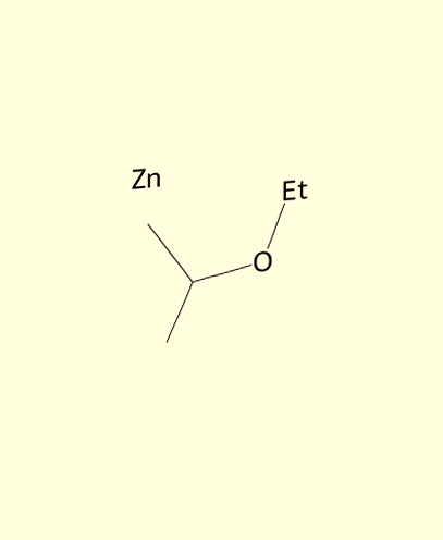 [CH2]COC(C)C.[Zn]